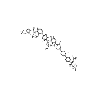 C=CC(=O)Nc1cc(Nc2nc(-c3ccnc(N4CCn5c(cc6c5CC(C)(C)C6)C4=O)c3CO)cn(C)c2=O)ccc1N1CCN(C2CCN(c3ccc(S(=O)(=O)C(C)(C)C(F)(F)F)c(C(F)(F)F)c3)[C@@H](C)C2)C[C@@H]1C